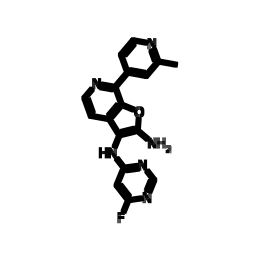 Cc1cc(-c2nccc3c(Nc4cc(F)ncn4)c(N)oc23)ccn1